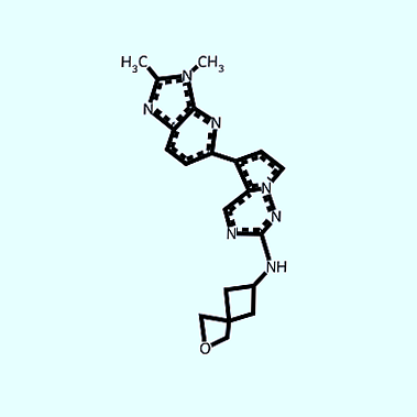 Cc1nc2ccc(-c3ccn4nc(NC5CC6(COC6)C5)ncc34)nc2n1C